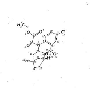 CCOC(=O)C(=O)N(c1ncc(Cl)cc1[N+](=O)[O-])C1C[C@H]2CC[C@@H](C1)C2